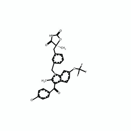 Cc1c(C(=O)c2ccc(Cl)cc2)c2ccc(OC(F)(F)F)cc2n1Cc1cccc(C[C@]2(C)OC(=O)NC2=O)c1